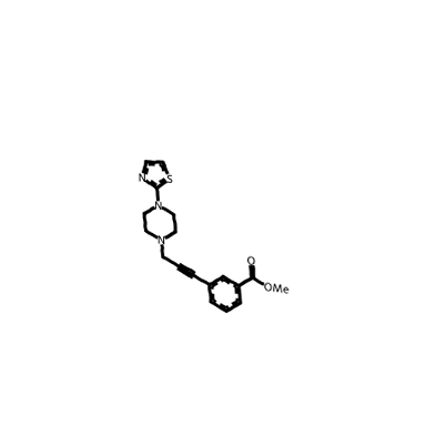 COC(=O)c1cccc(C#CCN2CCN(c3nccs3)CC2)c1